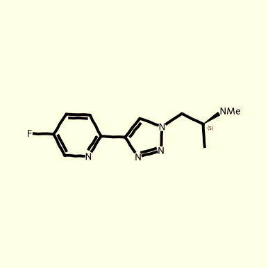 CN[C@@H](C)Cn1cc(-c2ccc(F)cn2)nn1